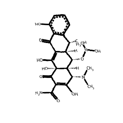 C[C@H]1c2cccc(O)c2C(=O)C2=C(O)[C@]3(O)C(=O)C(C(N)=O)=C(O)[C@@H](N(C)C)[C@@H]3[C@@H](ON(O)O)[C@@H]21